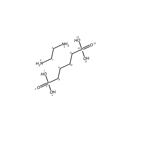 NCCN.O=P(O)(O)CCCCP(=O)(O)O